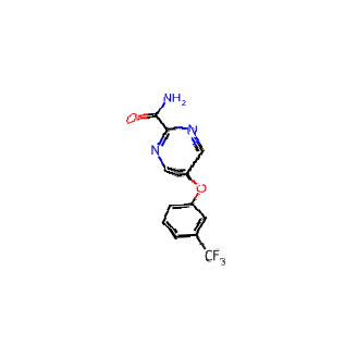 NC(=O)c1ncc(Oc2cccc(C(F)(F)F)c2)cn1